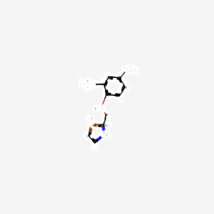 Cc1cc(C(C)(C)C)ccc1OCc1nccs1